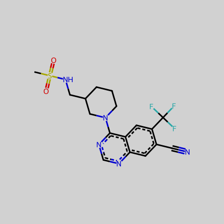 CS(=O)(=O)NCC1CCCN(c2ncnc3cc(C#N)c(C(F)(F)F)cc23)C1